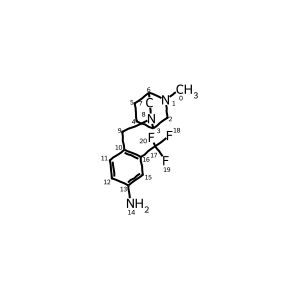 CN1CC2CCC1CN2Cc1ccc(N)cc1C(F)(F)F